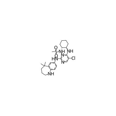 CC1(C)CCCNc2ccc(Nc3ncc(Cl)c(N[C@@H]4CCCC[C@H]4NS(C)(=O)=O)n3)cc21